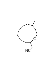 CC1CCCCCCC(CC#N)CCC1